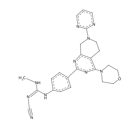 CN/C(=N/C#N)Nc1ccc(-c2nc3c(c(N4CCOCC4)n2)CCN(c2ncccn2)C3)cc1